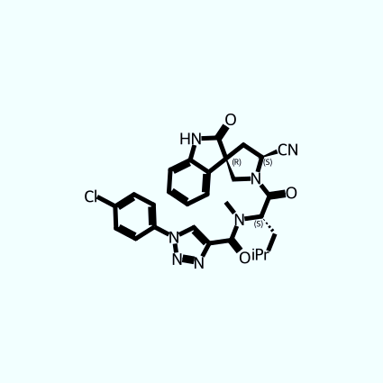 CC(C)C[C@@H](C(=O)N1C[C@]2(C[C@H]1C#N)C(=O)Nc1ccccc12)N(C)C(=O)c1cn(-c2ccc(Cl)cc2)nn1